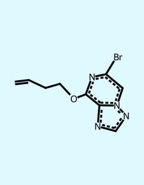 C=CCCOc1nc(Br)cn2ncnc12